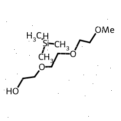 COCCOCCOCCO.C[SiH](C)C